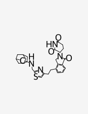 O=C1CCC(N2Cc3c(CCc4csc(CNC56CC7CC(CC5C7)C6)n4)cccc3C2=O)C(=O)N1